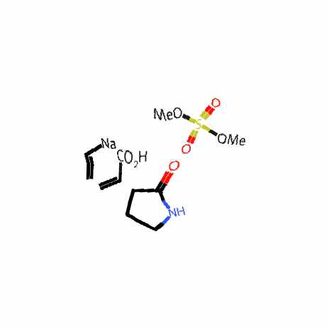 C=CC(=O)O.C=[CH][Na].COS(=O)(=O)OC.O=C1CCCN1